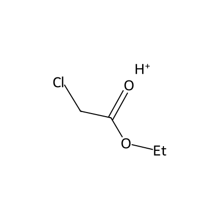 CCOC(=O)CCl.[H+]